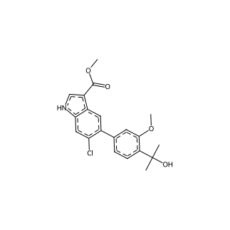 COC(=O)c1c[nH]c2cc(Cl)c(-c3ccc(C(C)(C)O)c(OC)c3)cc12